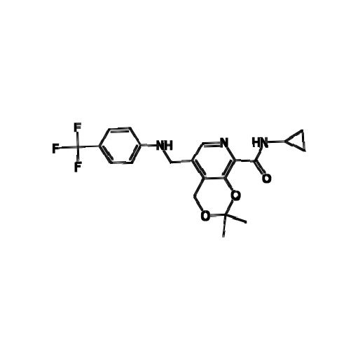 CC1(C)OCc2c(CNc3ccc(C(F)(F)F)cc3)cnc(C(=O)NC3CC3)c2O1